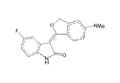 CNc1ccc2c(c1)CO/C2=C1/C(=O)Nc2ccc(F)cc21